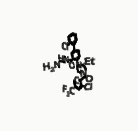 CC[C@@H]1CN(C(=O)c2ccc(C(F)(F)F)cc2Cl)CCN1c1ccc(-c2ccccc2Cl)cc1C(=O)NCCN